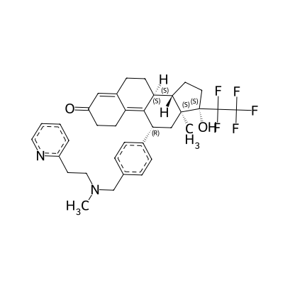 CN(CCc1ccccn1)Cc1ccc([C@H]2C[C@@]3(C)[C@@H](CC[C@@]3(O)C(F)(F)C(F)(F)F)[C@@H]3CCC4=CC(=O)CCC4=C32)cc1